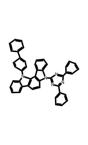 c1ccc(-c2ccc(-n3c4ccccc4c4ccc5c(c6ccccc6n5-c5nc(-c6ccccc6)nc(-c6ccccc6)n5)c43)cc2)cc1